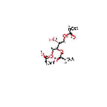 CCCCCCCCC(=O)OC[C@@H](O)[C@H](COC(=O)CCCCCCCC)OC(=O)CCCCCCCC